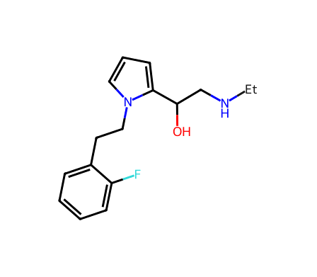 CCNCC(O)c1cccn1CCc1ccccc1F